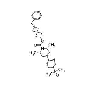 C[C@@H]1CN(c2ccc(P(C)(C)=O)cn2)C[C@H](C)N1C(=O)OC1CC2(C1)CN(Cc1ccccc1)C2